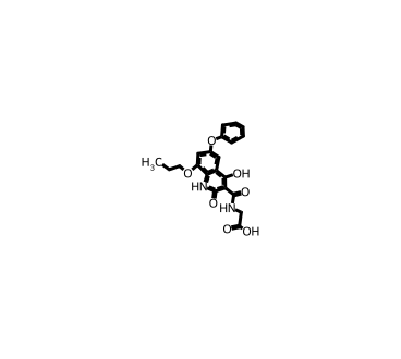 CCCOc1cc(Oc2ccccc2)cc2c(O)c(C(=O)NCC(=O)O)c(=O)[nH]c12